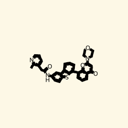 Cc1ncccc1CC(=O)Nc1ccc2sc3c(-c4cccc5c(=O)cc(N6CCOCC6)oc45)cccc3c2c1